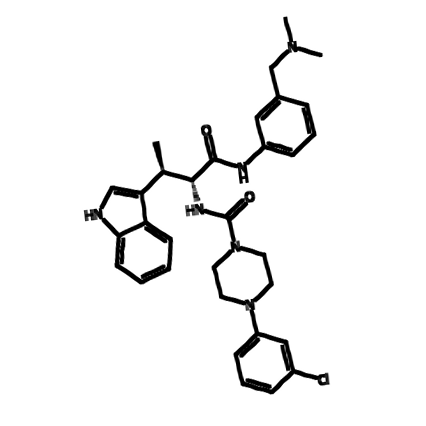 C[C@H](c1c[nH]c2ccccc12)[C@@H](NC(=O)N1CCN(c2cccc(Cl)c2)CC1)C(=O)Nc1cccc(CN(C)C)c1